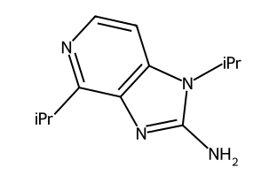 CC(C)c1nccc2c1nc(N)n2C(C)C